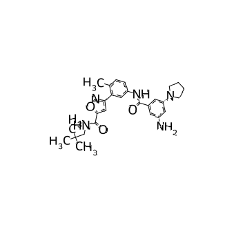 Cc1ccc(NC(=O)c2cc(N)cc(N3CCCC3)c2)cc1-c1cc(C(=O)NCC(C)(C)C)on1